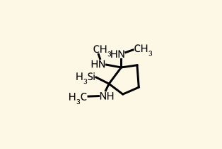 CNC1([SiH3])CCCC1(NC)NC